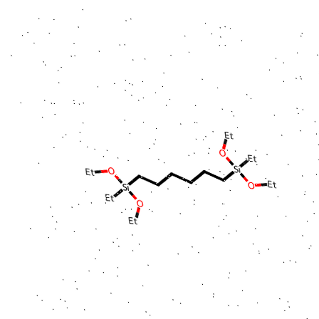 CCO[Si](CC)(CCCCCC[Si](CC)(OCC)OCC)OCC